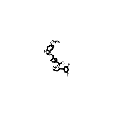 COc1ccc2c(c1)ncn2CC12CC(C1)C(C(=O)N1N=CCC1c1cc(F)cc(F)c1)C2